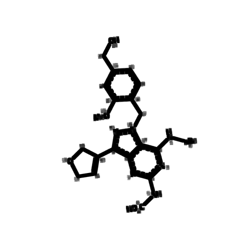 CCCCNc1nc(NC(=O)O)nc2c(C3=CCOC3)nn(Cc3ccc(CO)cc3OC)c12